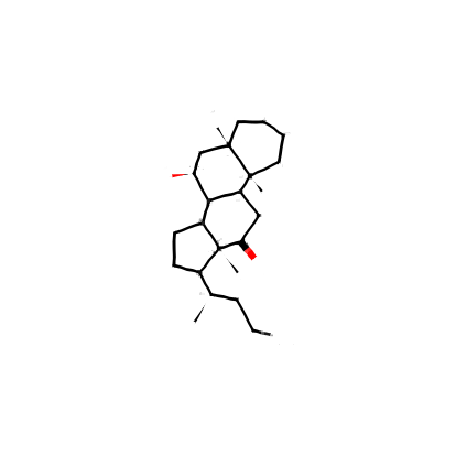 C[C@H](CCC(=O)O)C1CCC2C3C(CC(=O)[C@@]21C)[C@@]1(C)CCCC[C@H]1C[C@@H]3O